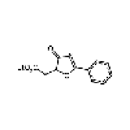 CCOC(=O)CC1OC(c2ccccc2)=NC1=O